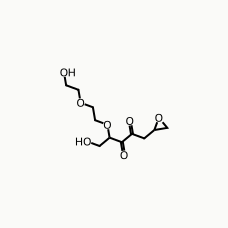 O=C(CC1CO1)C(=O)C(CO)OCCOCCO